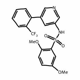 COc1ccc(OC)c(S(=O)(=O)Nc2cncc(-c3ccccc3C(F)(F)F)c2)c1